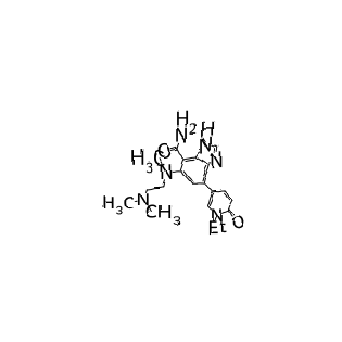 CCn1cc(-c2cc(N(C)CCN(C)C)c(C(N)=O)c3[nH]cnc23)ccc1=O